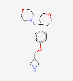 c1cc(C2(CN3CCOCC3)CCOCC2)ccc1OCC1CNC1